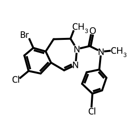 CC1Cc2c(Br)cc(Cl)cc2C=NN1C(=O)N(C)c1ccc(Cl)cc1